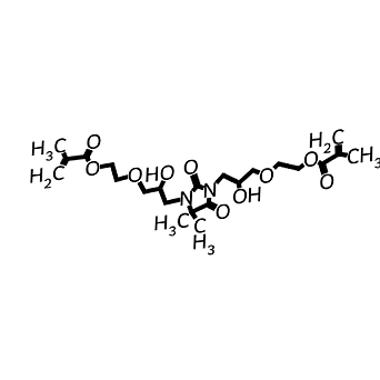 C=C(C)C(=O)OCCOCC(O)CN1C(=O)N(CC(O)COCCOC(=O)C(=C)C)C(C)(C)C1=O